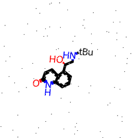 CC(C)(C)NC[C@H](O)c1cccc2[nH]c(=O)ccc12